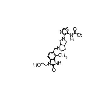 CCC(=O)Nc1scnc1N1CC2CCN(Cc3ccc4c([nH]c(=O)n4CCO)c3C)C2C1